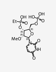 CCP(=O)(O)O[C@H]1[C@@H](OC)[C@H](n2ccc(=O)[nH]c2=O)O[C@@H]1COP(=O)(O)O